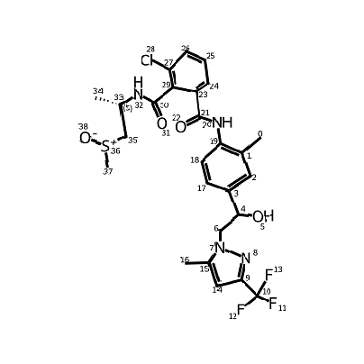 Cc1cc(C(O)Cn2nc(C(F)(F)F)cc2C)ccc1NC(=O)c1cccc(Cl)c1C(=O)N[C@@H](C)C[S+](C)[O-]